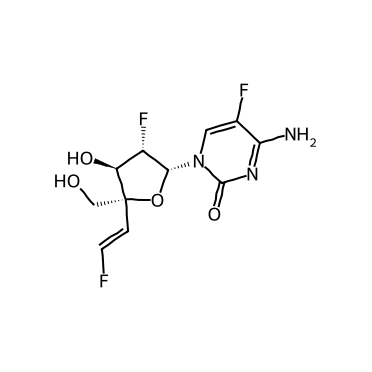 Nc1nc(=O)n([C@@H]2O[C@](/C=C/F)(CO)[C@@H](O)[C@@H]2F)cc1F